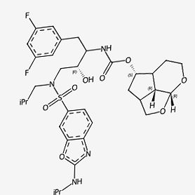 CC(C)CN(C[C@@H](O)C(Cc1cc(F)cc(F)c1)NC(=O)O[C@H]1CC2CO[C@H]3OCCC1[C@@H]23)S(=O)(=O)c1ccc2nc(NC(C)C)oc2c1